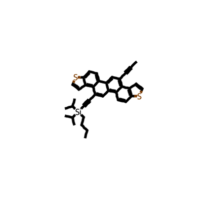 CC#Cc1cc2c(cc(C#C[Si](CCCC)(C(C)C)C(C)C)c3c4ccsc4ccc23)c2ccc3sccc3c12